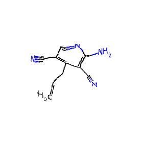 C=CCc1c(C#N)cnc(N)c1C#N